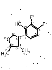 C[C@H]1[C@@H](c2ccc(F)c(F)c2O)CO[C@@H]1C